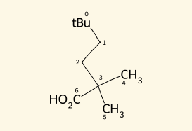 CC(C)(C)CCC(C)(C)C(=O)O